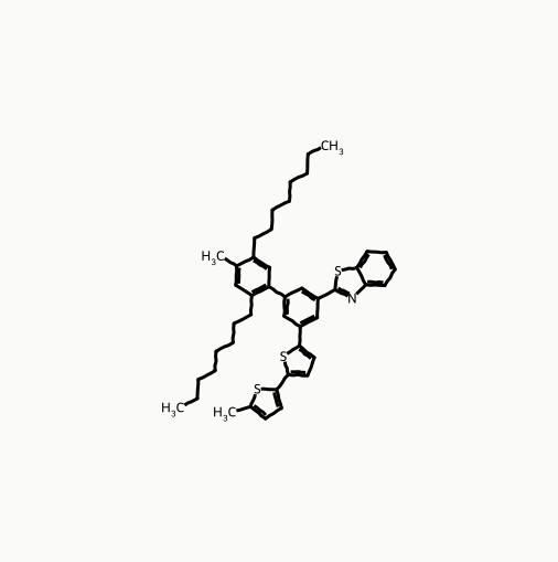 CCCCCCCCc1cc(-c2cc(-c3ccc(-c4ccc(C)s4)s3)cc(-c3nc4ccccc4s3)c2)c(CCCCCCCC)cc1C